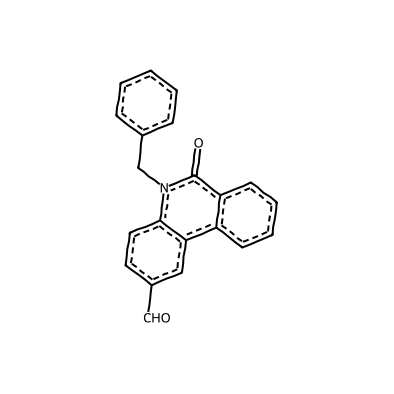 O=Cc1ccc2c(c1)c1ccccc1c(=O)n2Cc1ccccc1